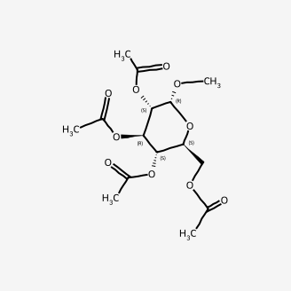 CO[C@@H]1O[C@@H](COC(C)=O)[C@H](OC(C)=O)[C@@H](OC(C)=O)[C@@H]1OC(C)=O